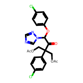 CC(=O)OCC(COC(C)=O)(C(=O)C(Oc1ccc(Cl)cc1)n1cncn1)c1ccc(Cl)cc1